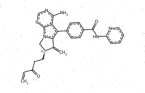 C=CC(=O)CC[C@H]1Cn2c(c(-c3ccc(C(=O)Nc4ccccn4)cc3)c3c(N)ncnc32)C1=C